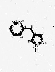 c1cnnc(Cc2cn[nH]c2)c1